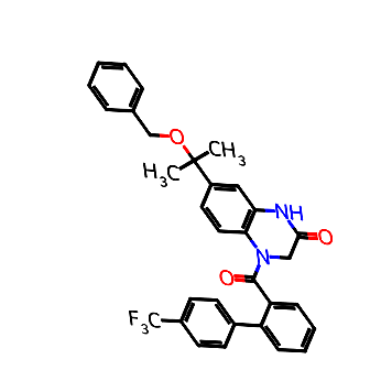 CC(C)(OCc1ccccc1)c1ccc2c(c1)NC(=O)CN2C(=O)c1ccccc1-c1ccc(C(F)(F)F)cc1